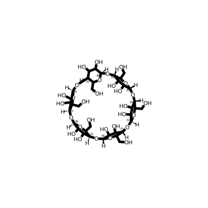 OCC1O[C@@H]2O[C@@H]3C(CO)O[C@H](O[C@@H]4C(CO)O[C@H](O[C@@H]5C(CO)O[C@@H](O[C@@H]6C(CO)O[C@H](O[C@@H]7C(CO)O[C@H](O[C@H]1C(O)C2O)C(O)C7O)C(O)C6O)C(O)C5O)C(O)C4O)C(O)C3O